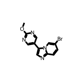 COc1ncc(-c2cnc3ccc(Br)cn23)cn1